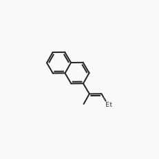 CCC=C(C)c1ccc2ccccc2c1